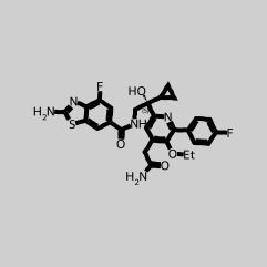 CCOc1c(CC(N)=O)cc([C@@](O)(CNC(=O)c2cc(F)c3nc(N)sc3c2)C2CC2)nc1-c1ccc(F)cc1